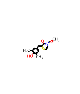 COCN1C=CS/C(=C\c2cc(C)c(O)c(C)c2)C1=O